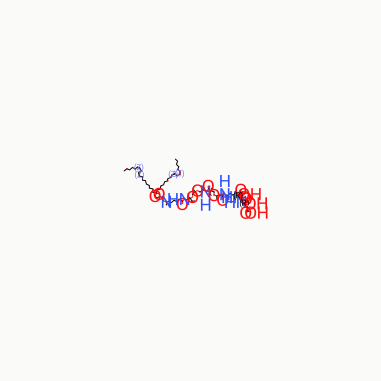 CCCCC/C=C\C/C=C\CCCCCCCCC1(CCCCCCCC/C=C\C/C=C\CCCCC)OCC(CCN(C)CCCCCC(=O)NCC(C)(CC)OCC(C)(C)OCCNC(=O)C(C)(CC)COC(C)CC(=O)NCCCC[C@@H](NC(=O)N[C@H](CCC(=O)O)C(=O)O)C(=O)O)O1